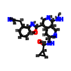 CNc1ncc(-c2nc3c(CC#N)cccc3o2)c2cc(NC(=O)C3CC3)ncc12